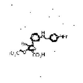 CC(C)c1ccc(CNc2cccc(-c3sc(C(=O)O)c(OCC(=O)O)c3Br)c2)cc1